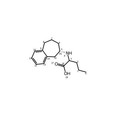 CCCC(N[C@H]1CCCc2ccccc2C1)C(=O)O